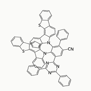 N#Cc1cc(-c2nc(-c3ccccc3)nc(-c3ccccc3)n2)c(-n2c3ccccc3c3c4sc5ccccc5c4ccc32)c(-n2c3ccccc3c3c4sc5ccccc5c4ccc32)c1-c1ccccc1